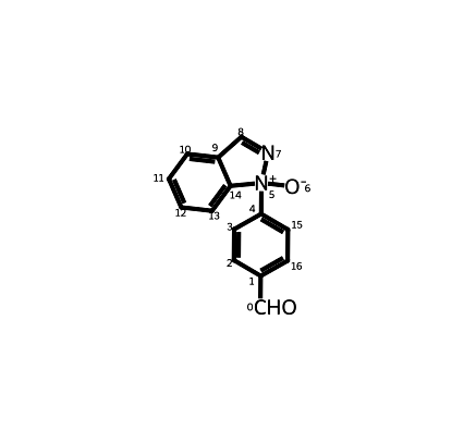 O=Cc1ccc([N+]2([O-])N=Cc3ccccc32)cc1